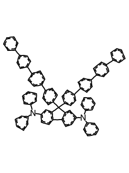 c1ccc(-c2ccc(-c3ccc(-c4ccc(C5(c6ccc(-c7ccc(-c8ccc(-c9ccccc9)cc8)cc7)cc6)c6cc(N(c7ccccc7)c7ccccc7)ccc6-c6ccc(N(c7ccccc7)c7ccccc7)cc65)cc4)cc3)cc2)cc1